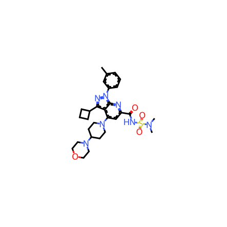 Cc1cccc(-n2nc(C3CCC3)c3c(N4CCC(N5CCOCC5)CC4)cc(C(=O)NS(=O)(=O)N(C)C)nc32)c1